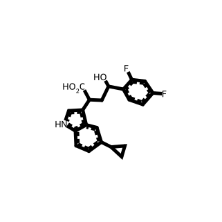 O=C(O)C(CC(O)c1ccc(F)cc1F)c1c[nH]c2ccc(C3CC3)cc12